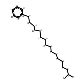 CC(C)CCCCCCCCCCCCCCCc1[c]cccc1